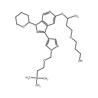 CC(CCOCCCO)Oc1cc2c(-c3cnn(COCC[Si](C)(C)C)c3)nn(C3CCCCO3)c2cn1